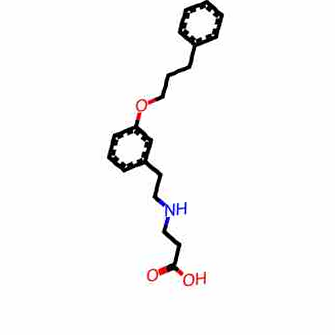 O=C(O)CCNCCc1cccc(OCCCc2ccccc2)c1